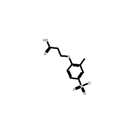 Cc1cc(S(=O)(=O)Cl)ccc1OCCC(=O)O